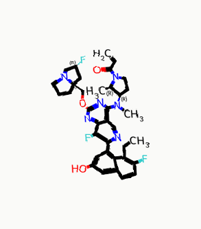 C=CC(=O)N1CC[C@@H](N(C)c2nc(OC[C@@]34CCCN3C[C@H](F)C4)nc3c(F)c(-c4cc(O)cc5ccc(F)c(CC)c45)ncc23)[C@H]1C